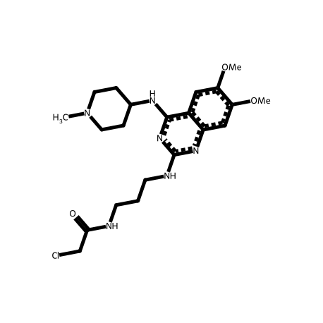 COc1cc2nc(NCCCNC(=O)CCl)nc(NC3CCN(C)CC3)c2cc1OC